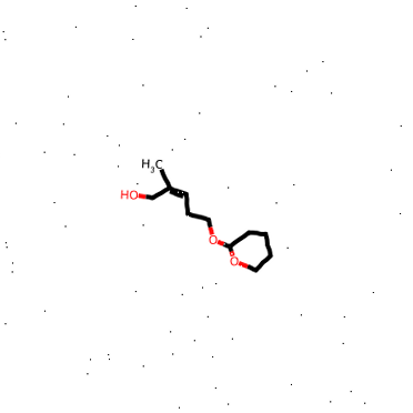 C/C(=C/CCOC1CCCCO1)CO